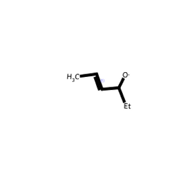 C/C=C/C([O])CC